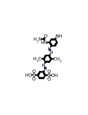 Cc1cc(/N=N/c2cc(S(=O)(=O)O)ccc2S(=O)(=O)O)c(C)cc1/N=N/c1ccc([NH])cc1NC(N)=O